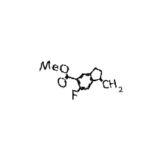 C=C1CCc2cc(C(=O)OC)c(F)cc21